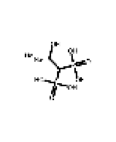 O=P(O)(O)C(CO)P(=O)(O)O.[Na].[Na]